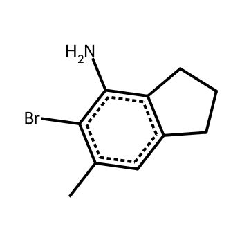 Cc1cc2c(c(N)c1Br)CCC2